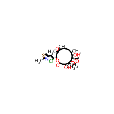 Cc1nc(C=C(Cl)[C@@H]2C[C@]3(C)O[C@]3(C)CCC[C@H](C)[C@H](O)[C@H](C3CO3)C(=O)C(C)(C)[C@@H](O)CC(=O)O2)cs1